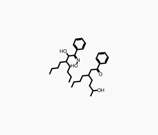 CCCCC(CCC(C)O)CC(=O)c1ccccc1.CCCCC(CCCC)C(O)C(=NO)c1ccccc1